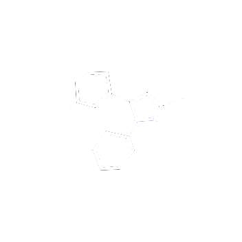 Cc1cccc(-c2cc(O)nn2-c2ccccc2)c1